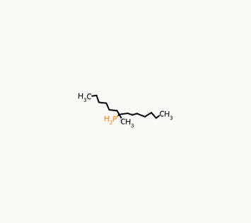 CCCCCCCC(C)(P)CCCCCC